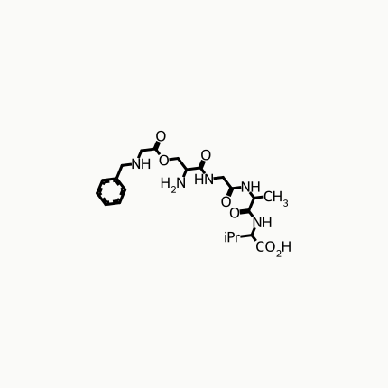 CC(NC(=O)CNC(=O)C(N)COC(=O)CNCc1ccccc1)C(=O)NC(C(=O)O)C(C)C